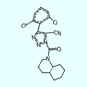 N#Cc1c(-c2c(Cl)cccc2Cl)nnn1C(=O)N1CCCC2CCCCC21